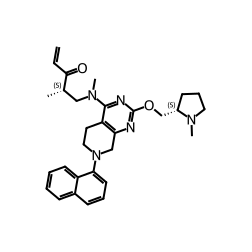 C=CC(=O)[C@@H](C)CN(C)c1nc(OC[C@@H]2CCCN2C)nc2c1CCN(c1cccc3ccccc13)C2